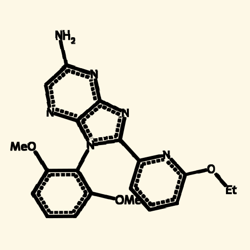 CCOc1cccc(-c2nc3nc(N)cnc3n2-c2c(OC)cccc2OC)n1